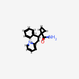 NC(=O)C1(C(Cc2ccccn2)c2ccccc2)CCC1